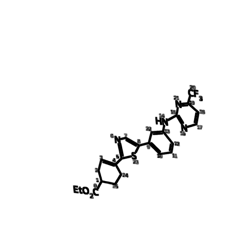 CCOC(=O)C1CC=C(c2ncc(-c3cccc(Nc4nccc(C(F)(F)F)n4)c3)s2)CC1